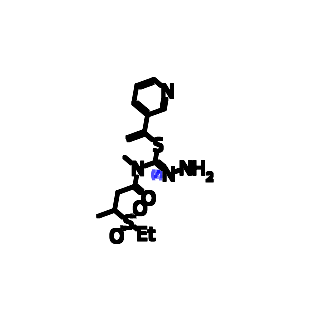 C=C(S/C(=N\N)N(C)C(=O)CC(C)S(=O)(=O)CC)c1cccnc1